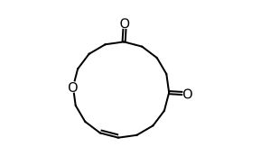 O=C1CCCC=CCCOCCCC(=O)CCC1